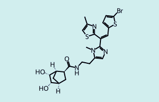 Cc1csc(/C(=C\c2ccc(Br)s2)c2ncc(CCNC(=O)[C@H]3C[C@@H]4C[C@H]3[C@@H](O)[C@H]4O)n2C)n1